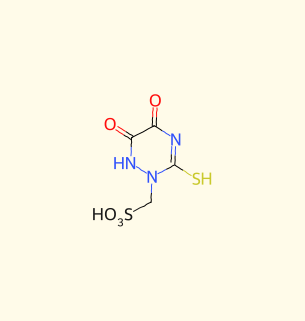 O=c1nc(S)n(CS(=O)(=O)O)[nH]c1=O